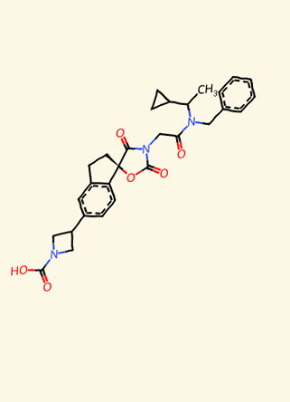 CC(C1CC1)N(Cc1ccccc1)C(=O)CN1C(=O)O[C@@]2(CCc3cc(C4CN(C(=O)O)C4)ccc32)C1=O